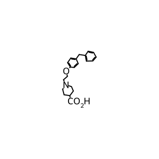 O=C(O)C1CCN(CCOc2ccc(Cc3ccccc3)cc2)CC1